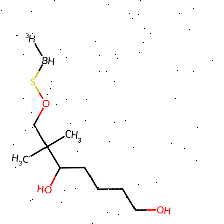 [3H]BSOCC(C)(C)C(O)CCCCO